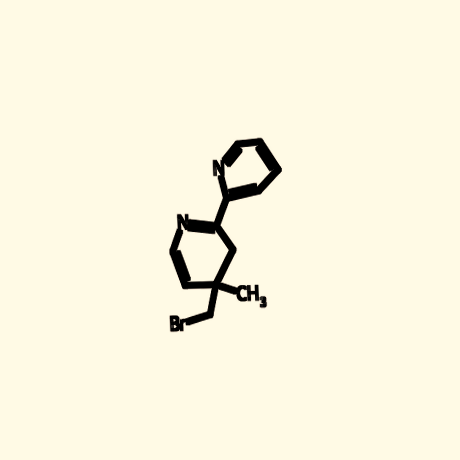 CC1(CBr)C=CN=C(c2ccccn2)C1